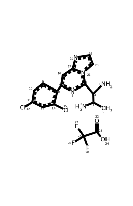 CC(N)C(N)c1nc(-c2ccc(Cl)cc2Cl)cc2nccn12.O=C(O)C(F)(F)F